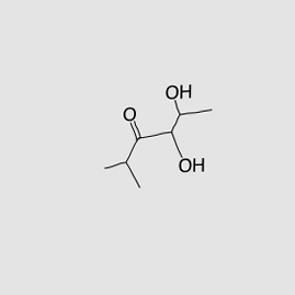 CC(C)C(=O)C(O)C(C)O